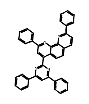 c1ccc(-c2cc(-c3ccccc3)nc(-c3cc(-c4ccccc4)nc4c3ccc3ccc(-c5ccccc5)nc34)n2)cc1